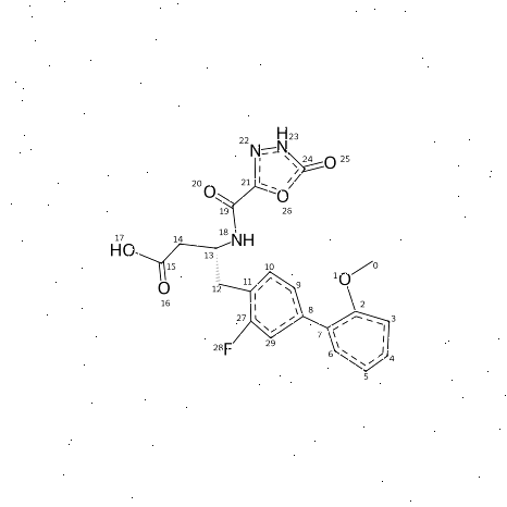 COc1ccccc1-c1ccc(C[C@H](CC(=O)O)NC(=O)c2n[nH]c(=O)o2)c(F)c1